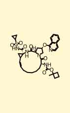 CC1(OC(=O)N[C@H]2CCCCC/C=C\C3C[C@@]3(C(=O)NS(=O)(=O)C3CC3)NC(=O)[C@@H]3C[C@@H](Oc4nccc5ccccc45)CN3C2=O)CCC1